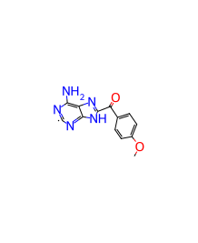 COc1ccc(C(=O)c2nc3c(N)n[c]nc3[nH]2)cc1